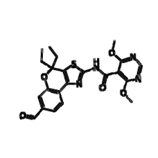 CCC1(CC)Oc2cc(C=O)ccc2-c2nc(NC(=O)c3c(OC)ncnc3OC)sc21